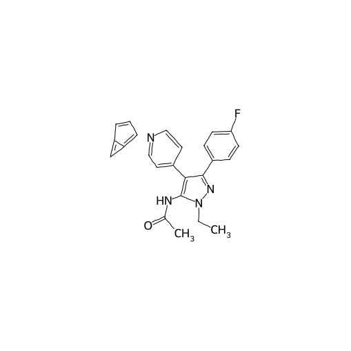 CCn1nc(-c2ccc(F)cc2)c(-c2ccncc2)c1NC(C)=O.c1cc2cc-2c1